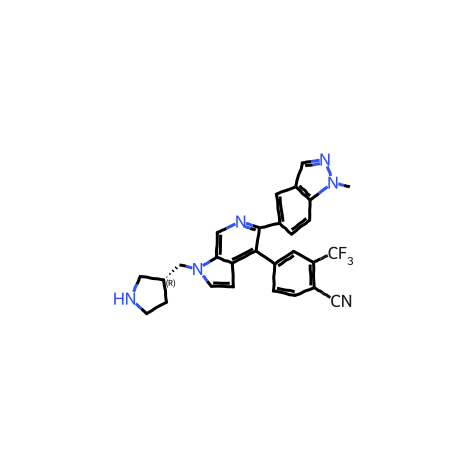 Cn1ncc2cc(-c3ncc4c(ccn4C[C@@H]4CCNC4)c3-c3ccc(C#N)c(C(F)(F)F)c3)ccc21